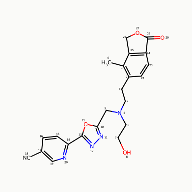 Cc1c(CCN(CCO)Cc2nnc(-c3ccc(C#N)cn3)o2)ccc2c1COC2=O